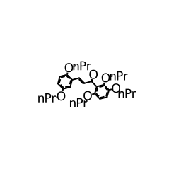 CCCOc1ccc(OCCC)c(C=CC(=O)c2c(OCCC)ccc(OCCC)c2OCCC)c1